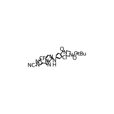 CC(C)(C)OC(=O)N1CCN(C(=O)c2ccc(Nc3nccn4c(-c5cn(CC#N)nc5C(F)(F)F)cnc34)cc2Cl)CC1